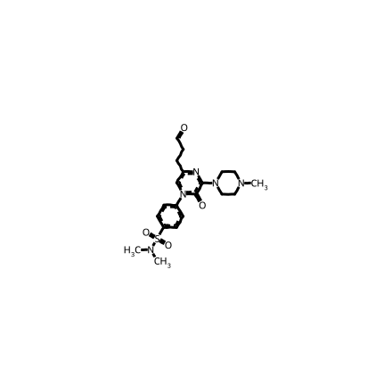 CN1CCN(c2nc(CCC=O)cn(-c3ccc(S(=O)(=O)N(C)C)cc3)c2=O)CC1